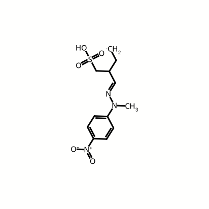 [CH2]CC(C=NN(C)c1ccc([N+](=O)[O-])cc1)CS(=O)(=O)O